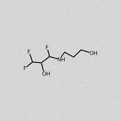 OCCCNC(F)C(O)C(F)F